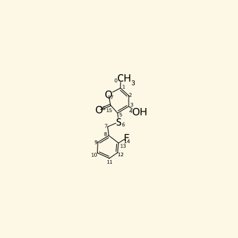 Cc1cc(O)c(SCc2ccccc2F)c(=O)o1